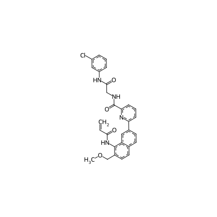 C=CC(=O)Nc1c(COC)ccc2ccc(-c3cccc(C(=O)NCC(=O)Nc4cccc(Cl)c4)n3)cc12